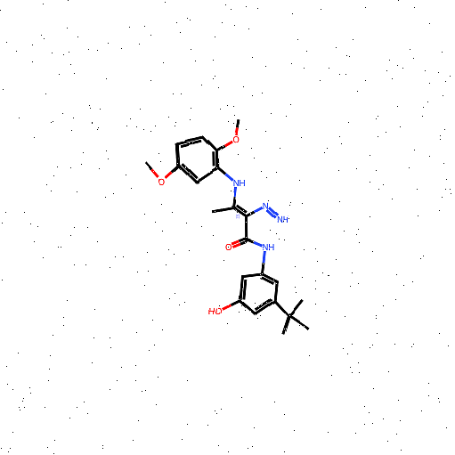 COc1ccc(OC)c(N/C(C)=C(\N=N)C(=O)Nc2cc(O)cc(C(C)(C)C)c2)c1